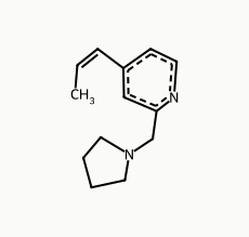 C/C=C\c1ccnc(CN2CCCC2)c1